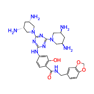 N[C@@H]1C[C@H](N)CN(c2nc(Nc3ccc(C(=O)NCc4ccc5c(c4)OCO5)c(O)c3)nc(N3C[C@H](N)C[C@H](N)C3)n2)C1